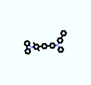 Cc1cc(-n2c3ccccc3c3ccccc32)c(C)cc1-c1ccc(-c2ccc(N(c3ccccc3)c3ccc(-c4ccccc4)cc3)cc2)cc1